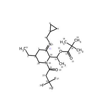 CCC1C/C(=N\CC2CC2)C(C(C)OC(=O)C(C)(C)C)N(C(=O)CC(F)(F)F)C1